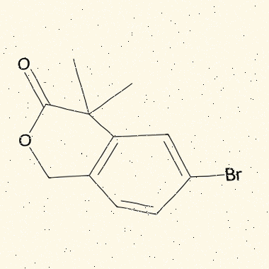 CC1(C)C(=O)OCc2ccc(Br)cc21